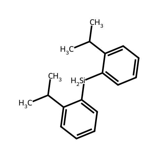 CC(C)c1ccccc1[SiH2]c1ccccc1C(C)C